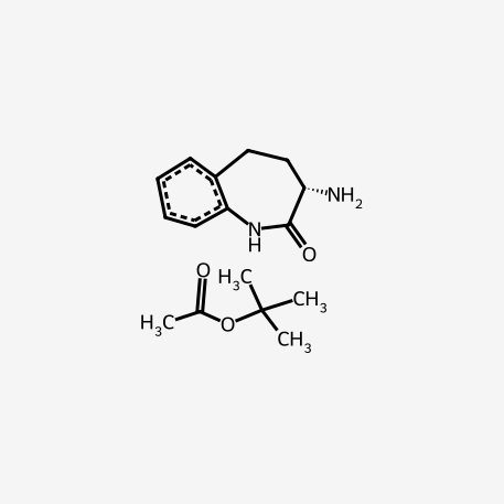 CC(=O)OC(C)(C)C.N[C@H]1CCc2ccccc2NC1=O